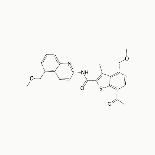 COCc1cccc2nc(NC(=O)c3sc4c(C(C)=O)ccc(COC)c4c3C)ccc12